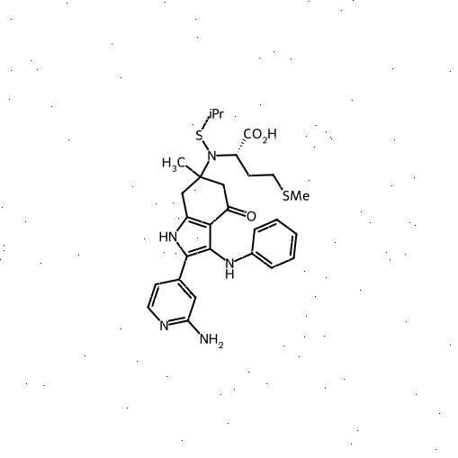 CSCC[C@@H](C(=O)O)N(SC(C)C)C1(C)CC(=O)c2c([nH]c(-c3ccnc(N)c3)c2Nc2ccccc2)C1